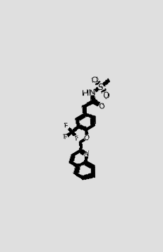 CS(=O)(=O)NC(=O)Cc1ccc(OCc2ccc3ccccc3n2)c(C(F)(F)F)c1